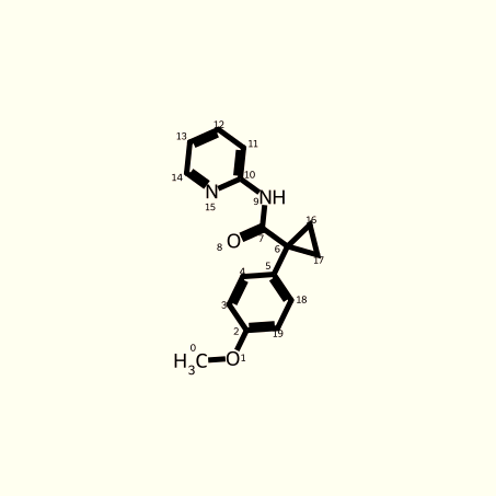 COc1ccc(C2(C(=O)Nc3ccccn3)CC2)cc1